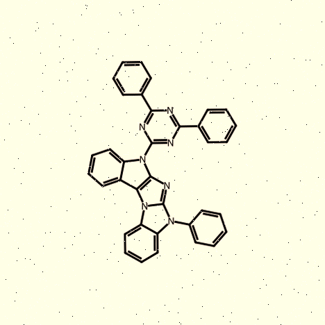 c1ccc(-c2nc(-c3ccccc3)nc(-n3c4ccccc4c4c3nc3n(-c5ccccc5)c5ccccc5n43)n2)cc1